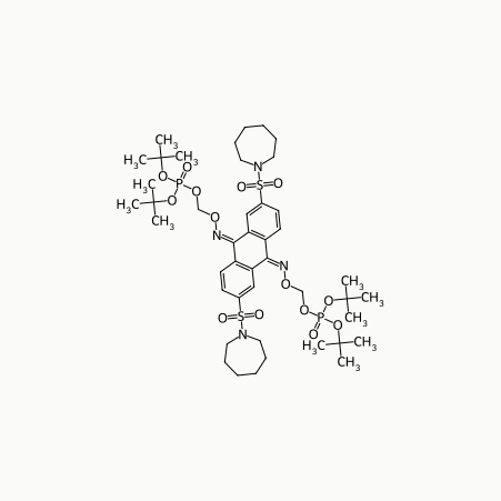 CC(C)(C)OP(=O)(OCON=C1c2ccc(S(=O)(=O)N3CCCCCC3)cc2C(=NOCOP(=O)(OC(C)(C)C)OC(C)(C)C)c2ccc(S(=O)(=O)N3CCCCCC3)cc21)OC(C)(C)C